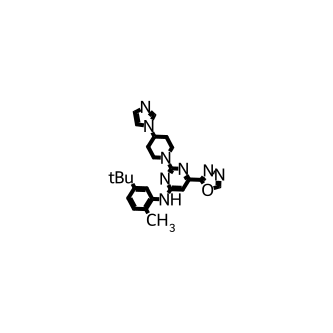 Cc1ccc(C(C)(C)C)cc1Nc1cc(-c2nnco2)nc(N2CCC(n3ccnc3)CC2)n1